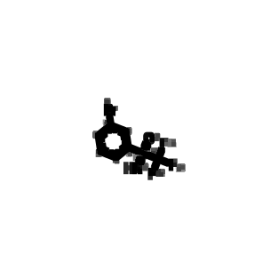 N=S(=O)(c1cccc(Br)c1)C(F)(F)F